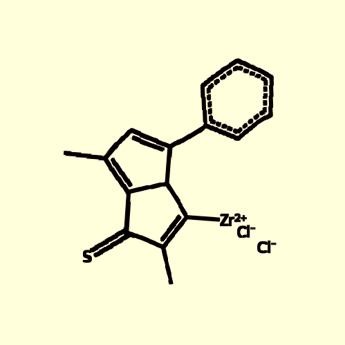 CC1=C2C(=S)C(C)=[C]([Zr+2])C2C(c2ccccc2)=C1.[Cl-].[Cl-]